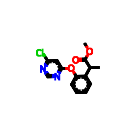 COC(=O)C(C)c1ccccc1Oc1cc(Cl)ncn1